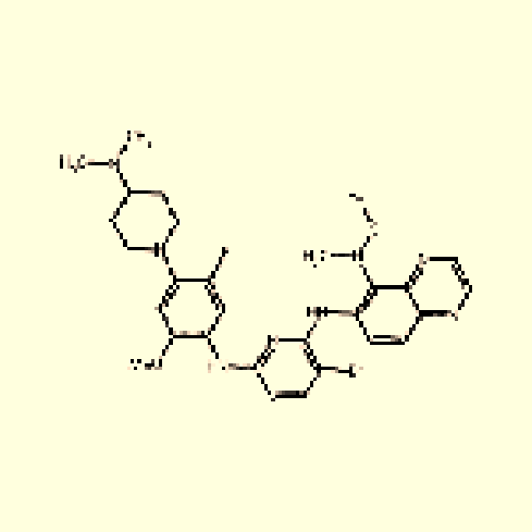 CCSN(C)c1c(Nc2nc(Nc3cc(CC)c(N4CCC(N(C)C)CC4)cc3OC)ncc2Br)ccc2nccnc12